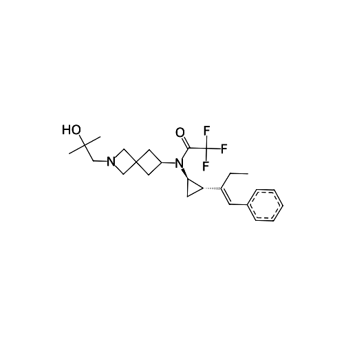 CC/C(=C\c1ccccc1)[C@@H]1C[C@H]1N(C(=O)C(F)(F)F)C1CC2(C1)CN(CC(C)(C)O)C2